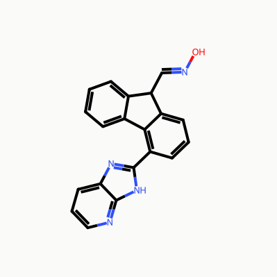 ON=CC1c2ccccc2-c2c(-c3nc4cccnc4[nH]3)cccc21